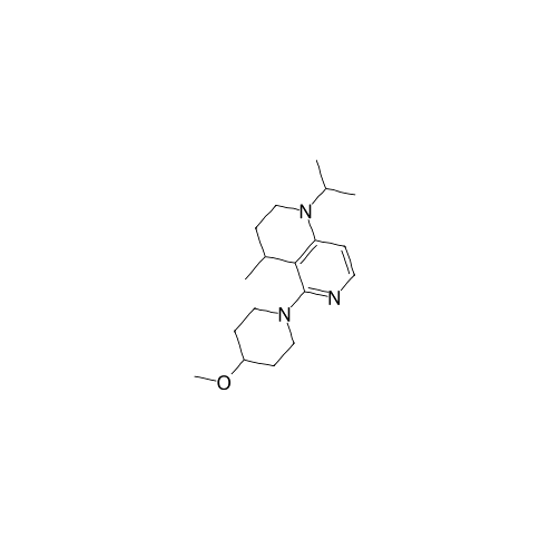 COC1CCN(c2nccc3c2C(C)CCN3C(C)C)CC1